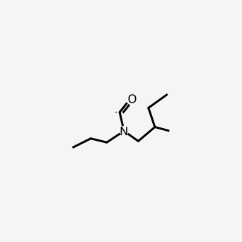 CCCN([C]=O)CC(C)CC